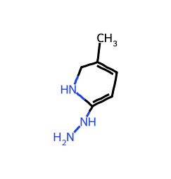 CC1=CC=C(NN)NC1